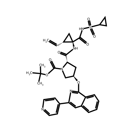 C=C[C@@H]1C[C@]1(NC(=O)[C@@H]1C[C@@H](Oc2nc(-c3ccncc3)cc3ccccc23)CN1C(=O)OC(C)(C)C)C(=O)NS(=O)(=O)C1CC1